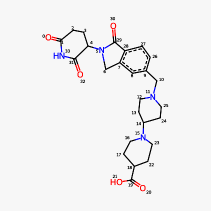 O=C1CCC(N2Cc3cc(CN4CCC(N5CCC(C(=O)O)CC5)CC4)ccc3C2=O)C(=O)N1